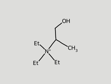 CC[N+](CC)(CC)C(C)CO